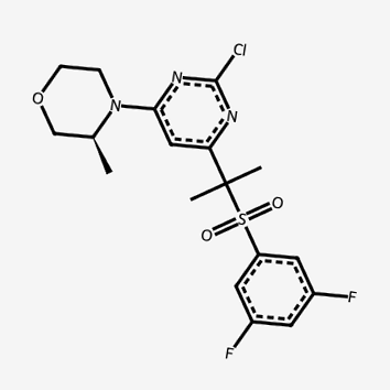 C[C@H]1COCCN1c1cc(C(C)(C)S(=O)(=O)c2cc(F)cc(F)c2)nc(Cl)n1